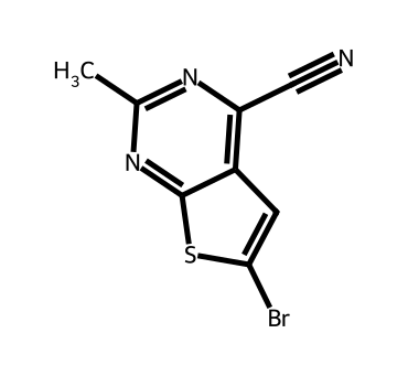 Cc1nc(C#N)c2cc(Br)sc2n1